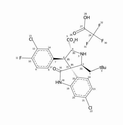 CC(C)(C)C[C@@H]1N[C@@H](C(=O)O)[C@H](c2ccc(F)c(Cl)c2)[C@]12C(=O)Nc1cc(Cl)ccc12.O=C(O)C(F)(F)F